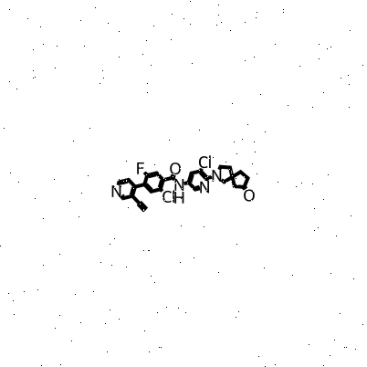 C#Cc1cnccc1-c1cc(Cl)c(C(=O)Nc2cnc(N3CCC4(CCC(=O)C4)C3)c(Cl)c2)cc1F